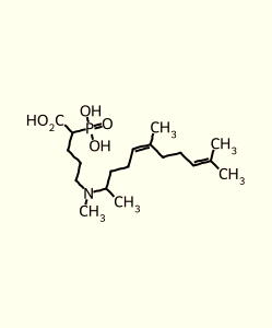 CC(C)=CCCC(C)=CCCC(C)N(C)CCCC(C(=O)O)P(=O)(O)O